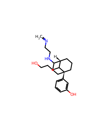 C=NCCNC1CC[C@@]2(c3cccc(O)c3)CCC[C@@H]1C2CCCO